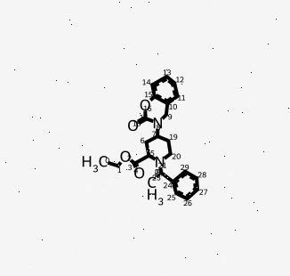 CCOC(=O)C1CC(N2Cc3ccccc3OC2=O)CCN1[C@H](C)c1ccccc1